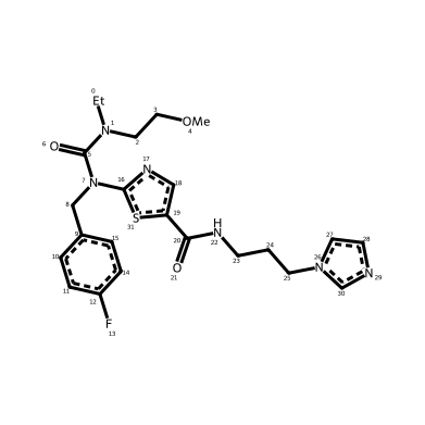 CCN(CCOC)C(=O)N(Cc1ccc(F)cc1)c1ncc(C(=O)NCCCn2ccnc2)s1